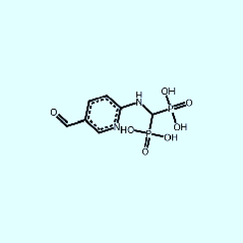 O=Cc1ccc(NC(P(=O)(O)O)P(=O)(O)O)nc1